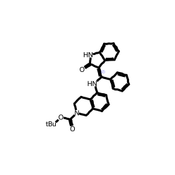 CC(C)(C)OC(=O)N1CCc2c(cccc2N/C(=C2\C(=O)Nc3ccccc32)c2ccccc2)C1